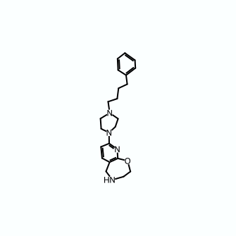 c1ccc(CCCCN2CCN(c3ccc4c(n3)OCCNC4)CC2)cc1